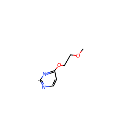 COCCOc1ccn[c]n1